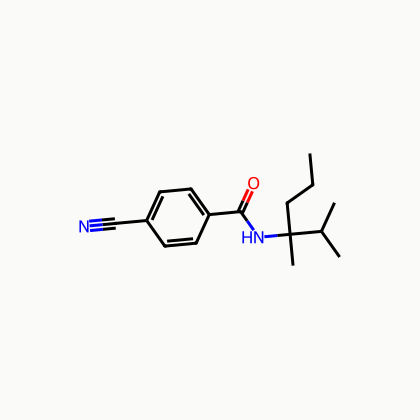 CCCC(C)(NC(=O)c1ccc(C#N)cc1)C(C)C